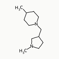 CC1CCN(CC2CCN(C)C2)CC1